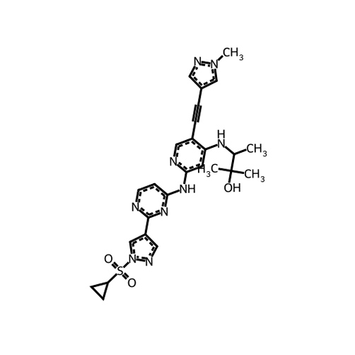 CC(Nc1cc(Nc2ccnc(-c3cnn(S(=O)(=O)C4CC4)c3)n2)ncc1C#Cc1cnn(C)c1)C(C)(C)O